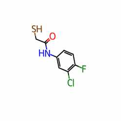 O=C(CS)Nc1ccc(F)c(Cl)c1